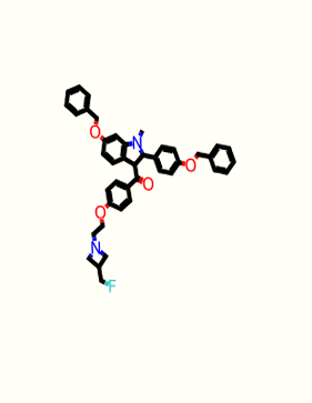 CN1c2cc(OCc3ccccc3)ccc2C(C(=O)c2ccc(OCCN3CC(CF)C3)cc2)C1c1ccc(OCc2ccccc2)cc1